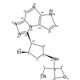 CC[C@@H]1C[C@H](NC2(CC#N)COC2)C[C@@H]1c1nnc2cnc3[nH]ccc3n12